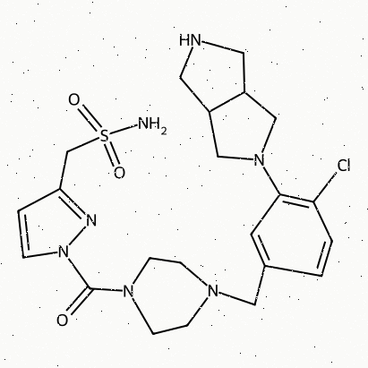 NS(=O)(=O)Cc1ccn(C(=O)N2CCN(Cc3ccc(Cl)c(N4CC5CNCC5C4)c3)CC2)n1